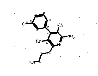 N#Cc1c(N)nc(SCCO)c(C#N)c1-c1cccc(Cl)c1